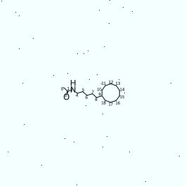 CC(=O)NCCCCCC1CCCCCCCCC1